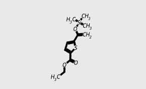 C=C(O[Si](C)(C)C)c1ccc(C(=O)OCC)s1